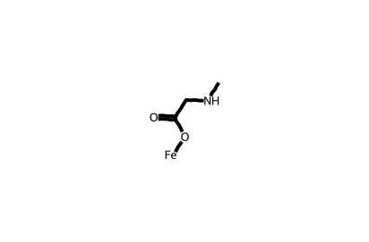 CNCC(=O)[O][Fe]